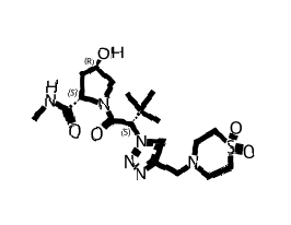 CNC(=O)[C@@H]1C[C@@H](O)CN1C(=O)[C@@H](n1cc(CN2CCS(=O)(=O)CC2)nn1)C(C)(C)C